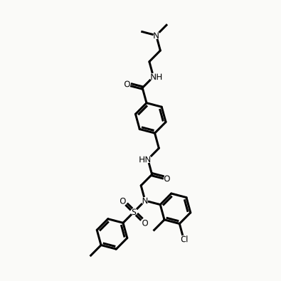 Cc1ccc(S(=O)(=O)N(CC(=O)NCc2ccc(C(=O)NCCN(C)C)cc2)c2cccc(Cl)c2C)cc1